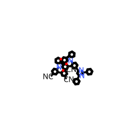 N#Cc1cc(C#N)cc(-c2cc(C#N)ccc2-n2c3ccccc3c3cc(-c4cc(-c5cc(-c6ccccc6)nc(-c6ccccc6)n5)ccc4-n4c5ccccc5c5ccccc54)ccc32)c1